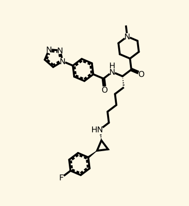 CN1CCC(C(=O)[C@H](CCCCCN[C@@H]2C[C@H]2c2ccc(F)cc2)NC(=O)c2ccc(-n3ccnn3)cc2)CC1